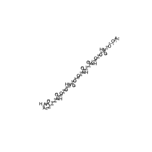 CC(=O)COCCOCCNC(=O)COCCOCCNC(=O)CCCC(=O)NCCOCCOCC(=O)NCCOCCOCC(=O)NCCCC[C@H](CC(C)=O)C(N)=O